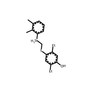 CCc1cc(SC[SiH2]c2cccc(C)c2C)c(CC)cc1O